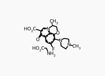 C[C@H]1COc2c(N3CCN(C)CC3)c(F)cc3c(=O)c(C(=O)O)cn1c23.NCC(=O)O